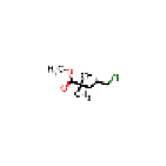 COC(=O)C(C)(C)CCCCl